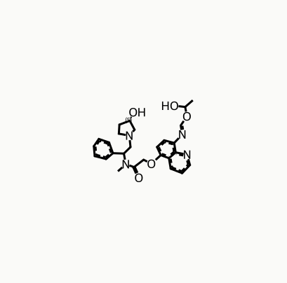 CC(O)OC=Nc1ccc(OCC(=O)N(C)C(CN2CC[C@H](O)C2)c2ccccc2)c2cccnc12